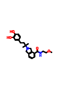 COCCNC(=O)c1cccc2c1CN(C(C)(C)CCc1ccc(O)c(O)c1)C2